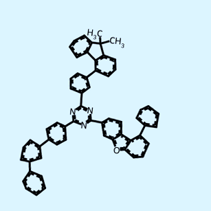 CC1(C)c2ccccc2-c2c(-c3cccc(-c4nc(-c5ccc(-c6cccc(-c7ccccc7)c6)cc5)nc(-c5ccc6c(c5)oc5cccc(-c7ccccc7)c56)n4)c3)cccc21